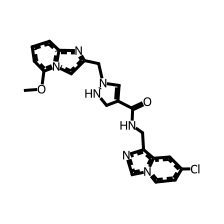 COc1cccc2nc(CN3C=C(C(=O)NCc4ncn5ccc(Cl)cc45)CN3)cn12